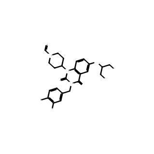 O=CN1CCC(n2c(=O)n(Cc3ccc(Cl)c(Cl)c3)c(=O)c3cc(OC(CF)CF)ccc32)CC1